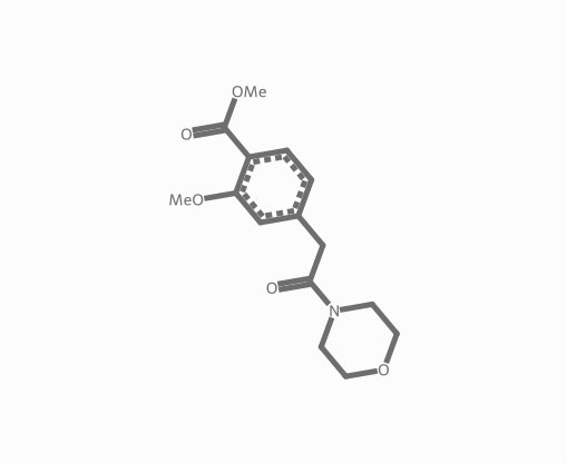 COC(=O)c1ccc(CC(=O)N2CCOCC2)cc1OC